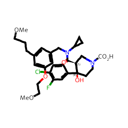 COCCCc1cc(CN(C(=O)[C@H]2CN(C(=O)O)CC[C@]2(O)c2ccc(Cl)c(F)c2)C2CC2)cc(OCCOC)c1